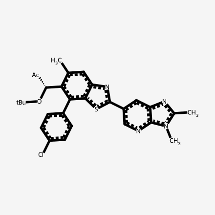 CC(=O)[C@@H](OC(C)(C)C)c1c(C)cc2nc(-c3cnc4c(c3)nc(C)n4C)sc2c1-c1ccc(Cl)cc1